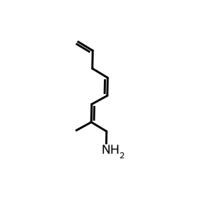 C=CC/C=C\C=C(\C)CN